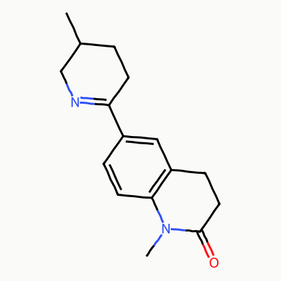 CC1CCC(c2ccc3c(c2)CCC(=O)N3C)=NC1